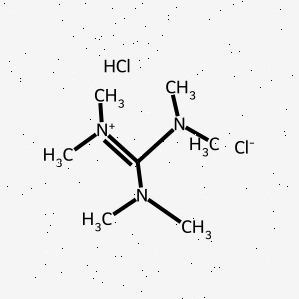 CN(C)C(N(C)C)=[N+](C)C.Cl.[Cl-]